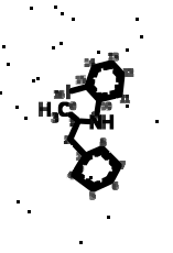 CC(Cc1ccccc1)Nc1ccccc1I